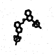 CC12COC(c3ccc4c(COc5cc(C67OCC(C)(CO6)CO7)cc6ccccc56)cccc4c3)(OC1)OC2